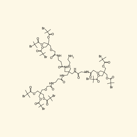 CC(C)(Br)C(=O)OCC(COCC(=O)NCCC(=O)NCC(CNC(=O)CCNC(=O)COCC(COC(=O)C(C)(C)Br)(COC(=O)C(C)(C)Br)COC(=O)C(C)(C)Br)(CNC(=O)CCNC(=O)COCC(COC(=O)C(C)(C)Br)(COC(=O)C(C)(C)Br)COC(=O)C(C)(C)Br)COCCN)(COC(=O)C(C)(C)Br)COC(=O)C(C)(C)Br